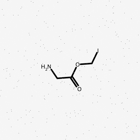 NCC(=O)OCI